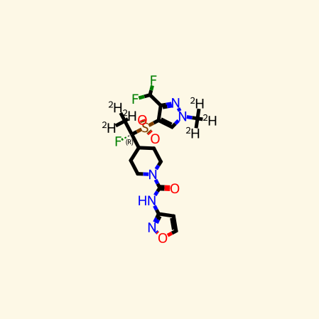 [2H]C([2H])([2H])n1cc(S(=O)(=O)[C@@](F)(C2CCN(C(=O)Nc3ccon3)CC2)C([2H])([2H])[2H])c(C(F)F)n1